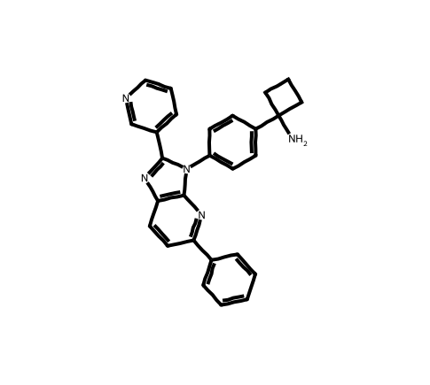 NC1(c2ccc(-n3c(-c4cccnc4)nc4ccc(-c5ccccc5)nc43)cc2)CCC1